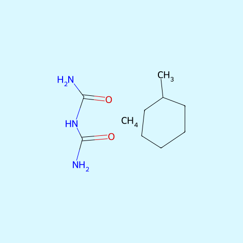 C.CC1CCCCC1.NC(=O)NC(N)=O